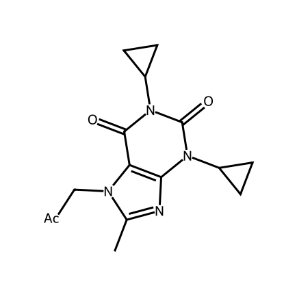 CC(=O)Cn1c(C)nc2c1c(=O)n(C1CC1)c(=O)n2C1CC1